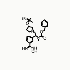 CN(C(=O)OCc1ccccc1)C(CN1CC[C@H](O[Si](C)(C)C(C)(C)C)C1)c1cccc(C(=N)NO)c1